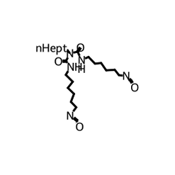 CCCCCCCN(C(=O)NCCCCCCN=C=O)C(=O)NCCCCCCN=C=O